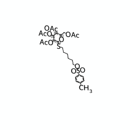 CC(=O)OC[C@H]1O[C@@H](SCCCCCCOS(=O)(=O)c2ccc(C)cc2)[C@H](OC(C)=O)[C@@H](OC(C)=O)[C@@H]1OC(C)=O